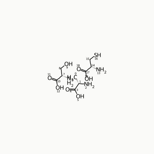 C[C@H](N)C(=O)O.N[C@@H](CO)C(=O)O.N[C@@H](CS)C(=O)O